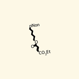 CCCCCCCCCCCCCCOC(=O)/C=C/C(=O)OCC